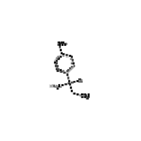 CCOC(=O)C(CC)(CC(=O)O)c1ccc(OC)cc1